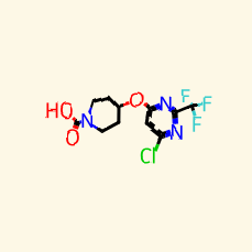 O=C(O)N1CCC(Oc2cc(Cl)nc(C(F)(F)F)n2)CC1